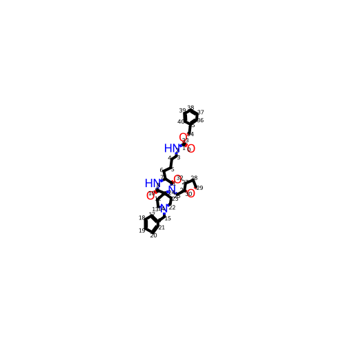 O=C(NCCCCC1NC(=O)C2(CCN(Cc3ccccc3)CC2)N(CC2CCCO2)C1=O)OCc1ccccc1